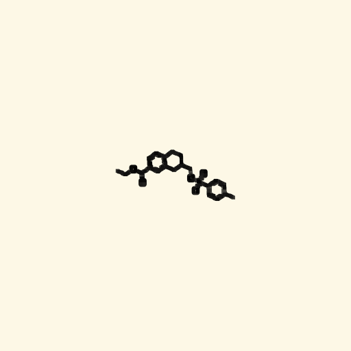 CCOC(=O)c1ccc2c(c1)CC(COS(=O)(=O)c1ccc(C)cc1)CC2